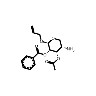 C=CCO[C@H]1OC[C@H](N)[C@H](OC(C)=O)[C@@H]1OC(=O)c1ccccc1